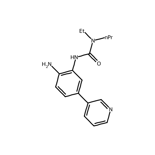 CCCN(CC)C(=O)Nc1cc(-c2cccnc2)ccc1N